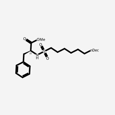 CCCCCCCCCCCCCCCCS(=O)(=O)N[C@@H](Cc1ccccc1)C(=O)OC